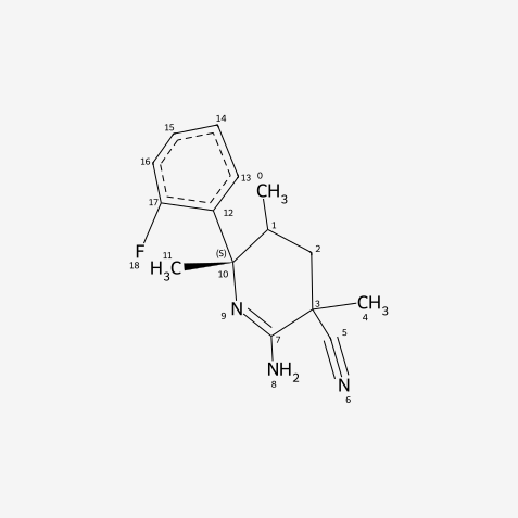 CC1CC(C)(C#N)C(N)=N[C@]1(C)c1ccccc1F